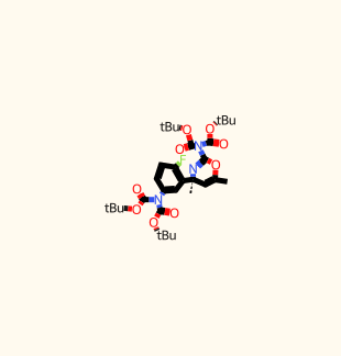 CC1=C[C@@](C)(c2cc(N(C(=O)OC(C)(C)C)C(=O)OC(C)(C)C)ccc2F)N=C(N(C(=O)OC(C)(C)C)C(=O)OC(C)(C)C)O1